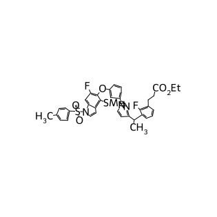 CCOC(=O)CCc1cccc(C(C)c2ccn(-c3cccc(Oc4c(F)cc5c(ccn5S(=O)(=O)c5ccc(C)cc5)c4SC)c3)n2)c1F